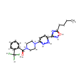 CCCCc1nc(-c2ccc(N3CCN(C(=O)c4ccccc4C(F)(F)F)CC3)nn2)no1